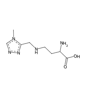 Cn1cnnc1CNCCC(N)C(=O)O